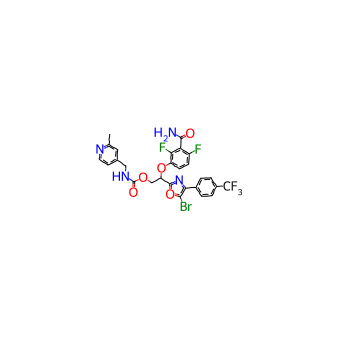 Cc1cc(CNC(=O)OCC(Oc2ccc(F)c(C(N)=O)c2F)c2nc(-c3ccc(C(F)(F)F)cc3)c(Br)o2)ccn1